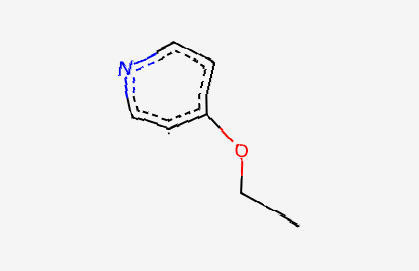 CCOc1[c]cncc1